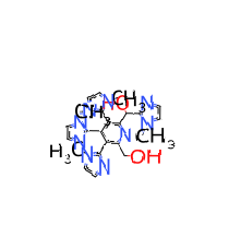 Cn1ccnc1-c1c(CO)nc(C(O)c2nccn2C)c(-c2nccn2C)c1-c1nccn1C